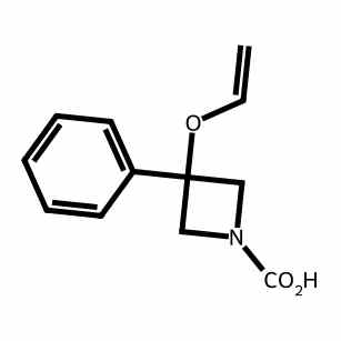 C=COC1(c2ccccc2)CN(C(=O)O)C1